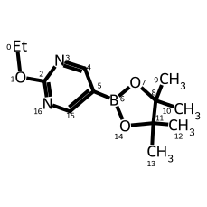 CCOc1ncc(B2OC(C)(C)C(C)(C)O2)cn1